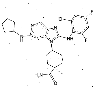 C[C@]1(C(N)=O)CC[C@@H](n2c(Nc3c(F)cc(F)cc3Cl)nc3cnc(NC4CCCC4)nc32)CC1